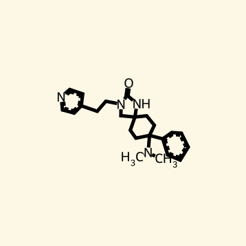 CN(C)C1(c2ccccc2)CCC2(CC1)CN(CCc1ccncc1)C(=O)N2